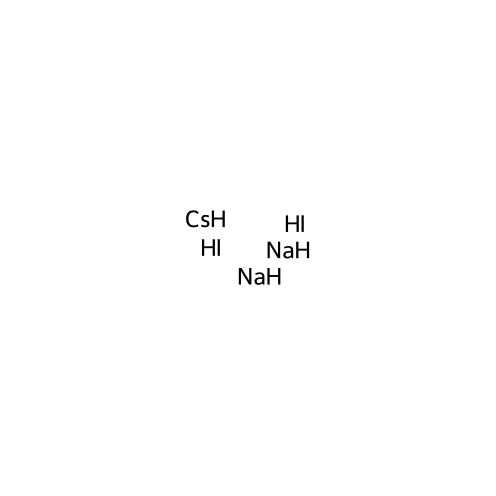 I.I.[CsH].[NaH].[NaH]